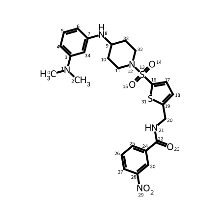 CN(C)c1cccc(NC2CCN(S(=O)(=O)c3ccc(CNC(=O)c4cccc([N+](=O)[O-])c4)s3)CC2)c1